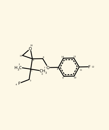 CC(C)(CF)C1(COc2ccc(F)cc2)CO1